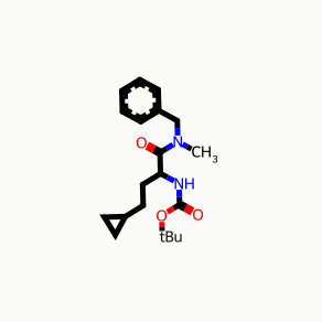 CN(Cc1ccccc1)C(=O)C(CCC1CC1)NC(=O)OC(C)(C)C